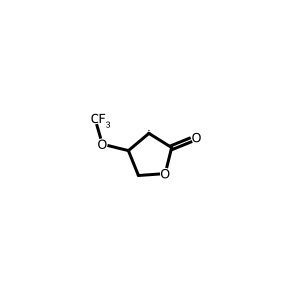 O=C1[CH]C(OC(F)(F)F)CO1